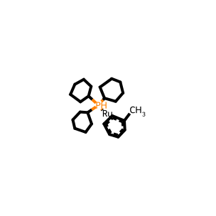 Cc1ccccc1.[Ru][PH](C1CCCCC1)(C1CCCCC1)C1CCCCC1